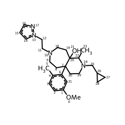 COc1ccc(C)c(C23CCN(CCn4cccn4)CCC2(O)C(C)N(CC2CC2)CC3)c1